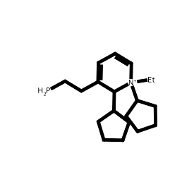 CC[N+]1(C2CCCC2)C=CC=C(CCP)C1C1CCCC1